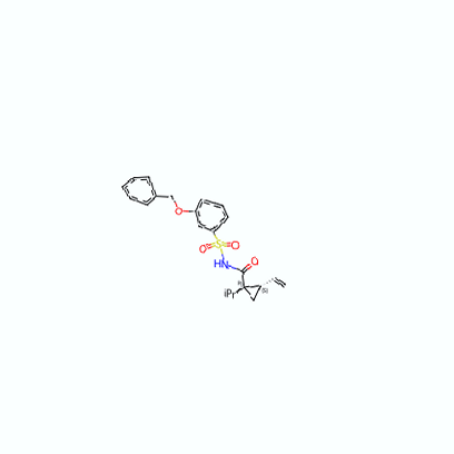 C=C[C@@H]1C[C@@]1(C(=O)NS(=O)(=O)c1cccc(OCc2ccccc2)c1)C(C)C